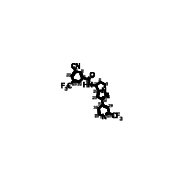 N#Cc1cc(C(=O)NC2CCn3nc(-c4ccnc(C(F)(F)F)c4)cc32)cc(C(F)(F)F)c1